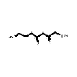 CCCCCCCCCCCCCC(=O)CC(=O)CCCCCCCCCCC